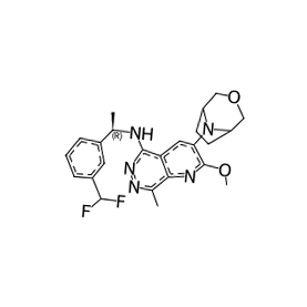 COc1nc2c(C)nnc(N[C@H](C)c3cccc(C(F)F)c3)c2cc1N1C2CCC1COC2